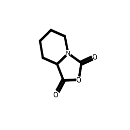 O=C1OC(=O)N2CCCCC12